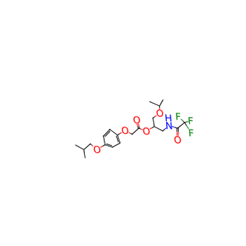 CC(C)COc1ccc(OCC(=O)OC(CNC(=O)C(F)(F)F)COC(C)C)cc1